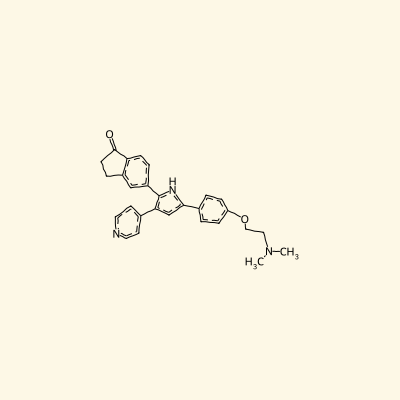 CN(C)CCOc1ccc(-c2cc(-c3ccncc3)c(-c3ccc4c(c3)CCC4=O)[nH]2)cc1